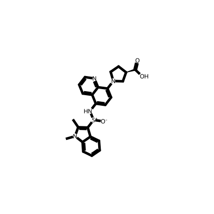 Cc1c([S+]([O-])Nc2ccc(N3CC[C@@H](C(=O)O)C3)c3ncccc23)c2ccccc2n1C